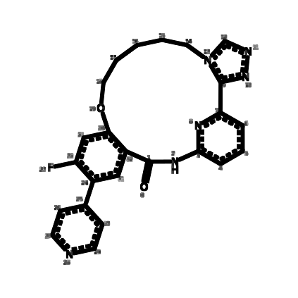 O=C1Nc2cccc(n2)-c2nncn2CCCCCOc2cc(F)c(-c3ccncc3)cc21